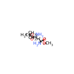 COC(=O)[C@@H](N)CCC(N)C(=O)OC(C)(C)C